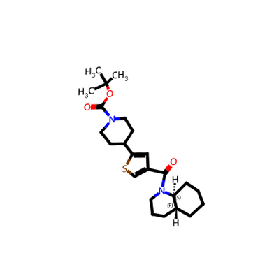 CC(C)(C)OC(=O)N1CCC(c2cc(C(=O)N3CCC[C@H]4CCCC[C@@H]43)cs2)CC1